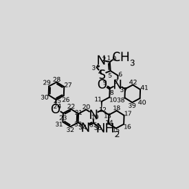 Cc1ncsc1CN(C(=O)CC[C@@H](C1CCCCC1)N1Cc2cc(Oc3ccccc3)ccc2N=C1N)C1CCCCC1